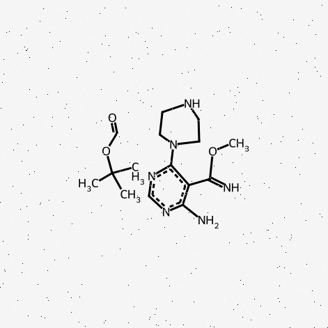 CC(C)(C)OC=O.COC(=N)c1c(N)ncnc1N1CCNCC1